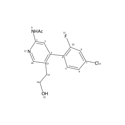 CC(=O)Nc1cc(-c2ccc(Cl)cc2F)c(CCO)cn1